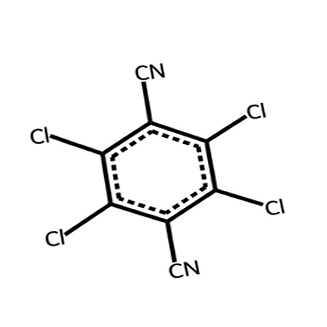 N#Cc1c(Cl)c(Cl)c(C#N)c(Cl)c1Cl